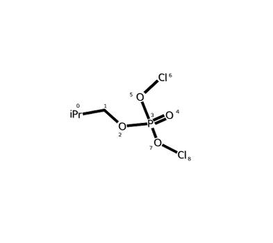 CC(C)COP(=O)(OCl)OCl